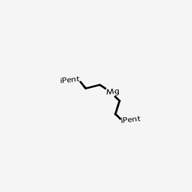 CCCC(C)C[CH2][Mg][CH2]CC(C)CCC